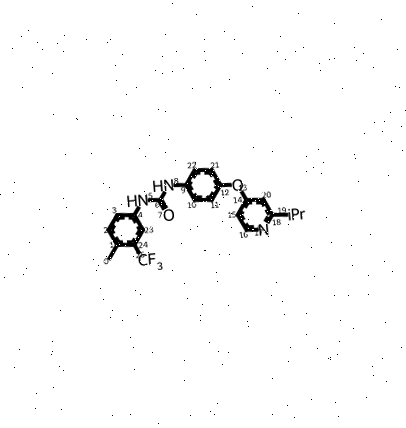 Cc1ccc(NC(=O)Nc2ccc(Oc3ccnc(C(C)C)c3)cc2)cc1C(F)(F)F